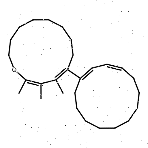 C/C1=C(C)/C(C)=C(/C2=C/C=C\CCCCCCCCC2)CCCCCCCCO1